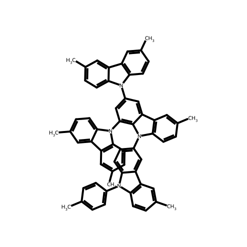 Cc1ccc(-n2c3ccc(C)cc3c3cc(-n4c5ccc(C)cc5c5cc(-n6c7ccc(C)cc7c7cc(C)ccc76)cc(-n6c7ccc(C)cc7c7cc(C)ccc76)c54)ccc32)cc1